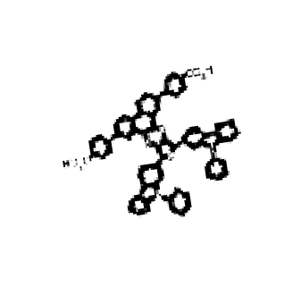 O=C(O)c1ccc(-c2ccc3c4ccc(-c5ccc(C(=O)O)cc5)cc4c4nc5c(-c6ccc7c8ccccc8n(-c8ccccc8)c7c6)sc(-c6ccc7c8ccccc8n(-c8ccccc8)c7c6)c5nc4c3c2)cc1